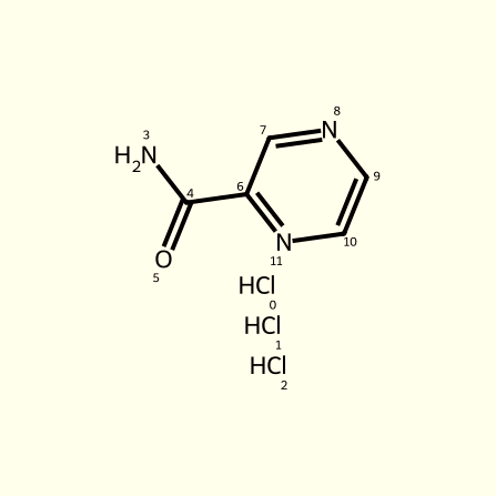 Cl.Cl.Cl.NC(=O)c1cnccn1